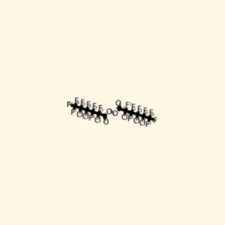 O=C(OOC(=O)C(F)(Cl)C(F)(F)C(F)(Cl)C(F)(Cl)C(F)(F)F)C(F)(Cl)C(F)(F)C(F)(Cl)C(F)(Cl)C(F)(F)F